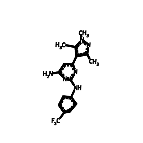 Cc1nn(C)c(C)c1-c1cc(N)nc(Nc2ccc(C(F)(F)F)cc2)n1